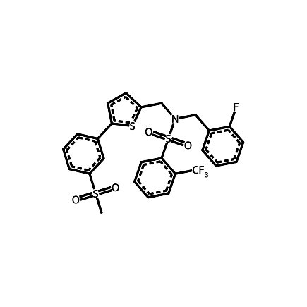 CS(=O)(=O)c1cccc(-c2ccc(CN(Cc3ccccc3F)S(=O)(=O)c3ccccc3C(F)(F)F)s2)c1